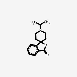 CC(C)N1CCC2(CC1)OC(=O)c1ccccc12